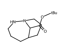 CC(C)(C)OC(=O)C1C2CCCNN1CCC2